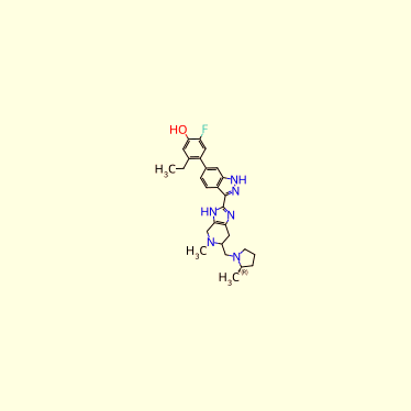 CCc1cc(O)c(F)cc1-c1ccc2c(-c3nc4c([nH]3)CN(C)C(CN3CCC[C@H]3C)C4)n[nH]c2c1